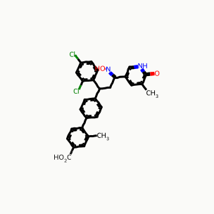 Cc1cc(C(=O)O)ccc1-c1ccc(C(C/C(=N\O)c2c[nH]c(=O)c(C)c2)c2ccc(Cl)cc2Cl)cc1